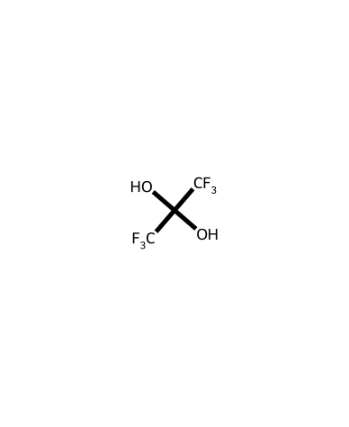 OC(O)(C(F)(F)F)C(F)(F)F